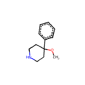 COC1(c2ccccc2)CCNCC1